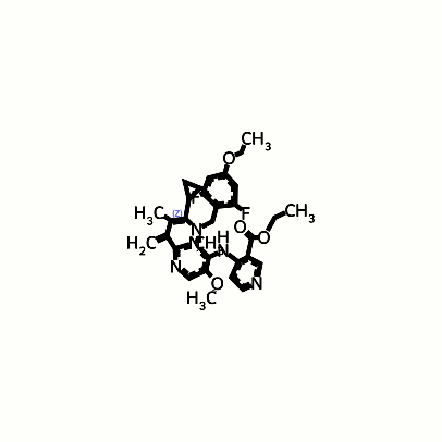 C=C(/C(C)=C(/C1CC1)N(C)Cc1c(F)cc(OCC)cc1F)c1ncc(OC)c(Nc2ccncc2C(=O)OCC)n1